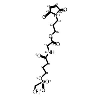 O=C(CCCOS(=O)(=O)CC(F)(F)F)NCC(=O)OCCCN1C(=O)C=CC1=O